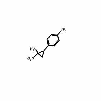 CC1([N+](=O)[O-])CC1c1ccc(C(F)(F)F)cc1